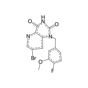 COc1cc(Cn2c(=O)[nH]c(=O)c3ncc(Br)cc32)ccc1F